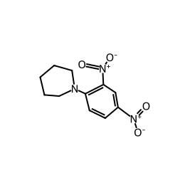 O=[N+]([O-])c1ccc(N2CCCCC2)c([N+](=O)[O-])c1